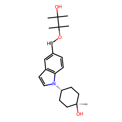 CC(C)(O)C(C)(C)OBc1ccc2c(ccn2[C@H]2CC[C@](C)(O)CC2)c1